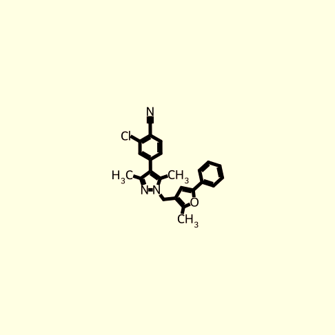 Cc1nn(Cc2cc(-c3ccccc3)oc2C)c(C)c1-c1ccc(C#N)c(Cl)c1